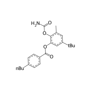 CCCCc1ccc(C(=O)Oc2cc(C(C)(C)C)cc(C)c2OC(N)=O)cc1